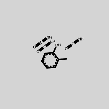 Cc1ccccc1O.N=C=O.N=C=O.N=C=O